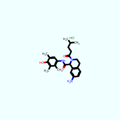 Cc1cc(NC(=O)C2c3cc(N)ccc3CCN2C(=O)CCC(C)C)c(C)c(C)c1O.Cl